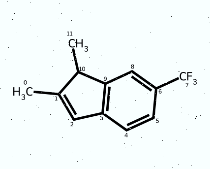 CC1=Cc2ccc(C(F)(F)F)cc2C1C